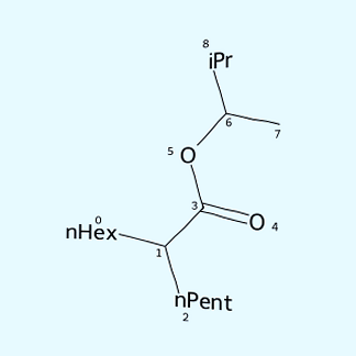 CCCCCCC(CCCCC)C(=O)OC(C)C(C)C